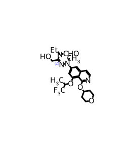 CCN(C=O)/C(CO)=N\N(C)c1cc(OC(C)C(F)(F)F)c2c(OC3CCOCC3)nccc2c1